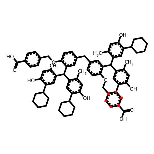 Cc1cc(O)c(C2CCCCC2)cc1C(c1cc(C2CCCCC2)c(O)cc1C)c1cc(Cc2ccc(OCc3ccc(C(=O)O)cc3)c(C(c3cc(C4CCCCC4)c(O)cc3C)c3cc(C4CCCCC4)c(O)cc3C)c2)ccc1OCc1ccc(C(=O)O)cc1